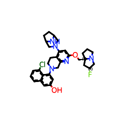 Oc1cc(N2CCc3c(N4CC5CCC(C4)N5)cc(OC[C@@]45CCCN4C[C@H](F)C5)nc3C2)c2c(Cl)cccc2c1